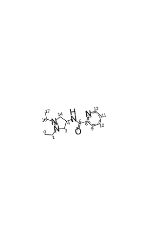 CCN1CC(NC(=O)c2ccccn2)CN1CC